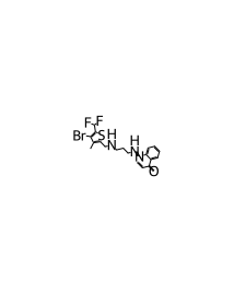 Cc1c(CNCCCNn2ccc(=O)c3ccccc32)sc(C(F)F)c1Br